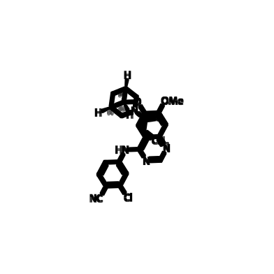 C=CC(=O)N1C[C@H]2C[C@@H](C1)[C@H]2Oc1cc2c(Nc3ccc(C#N)c(Cl)c3)ncnc2cc1OC